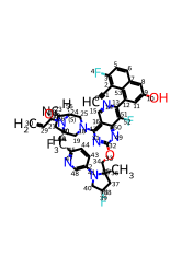 C#Cc1c(F)ccc2cc(O)cc(-c3ncc4c(N5C[C@H]6CC(C#N)[C@@H](C5)N6C(=O)C=C)nc(OC[C@]5(C)C[C@@H](F)CN5c5ccc(C(F)(F)F)nc5)nc4c3F)c12